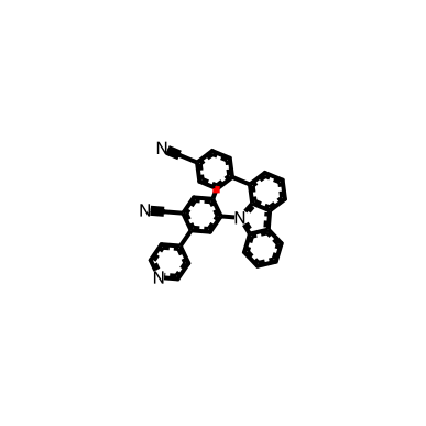 Cc1cc(C#N)c(-c2ccncc2)cc1-n1c2ccccc2c2cccc(-c3ccc(C#N)cc3)c21